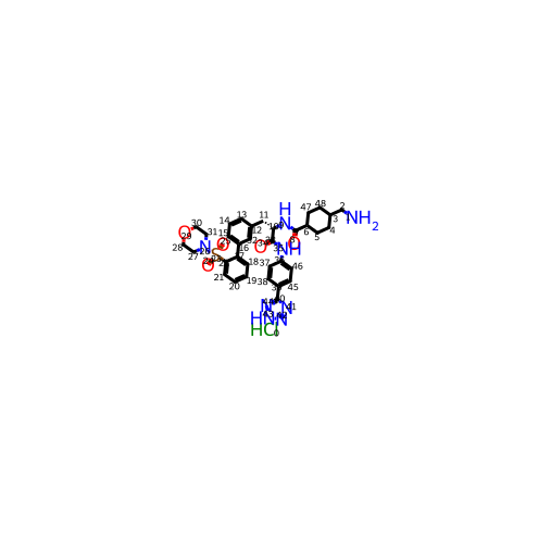 Cl.NCC1CCC(C(=O)N[C@@H](Cc2cccc(-c3ccccc3S(=O)(=O)N3CCOCC3)c2)C(=O)Nc2ccc(-c3nn[nH]n3)cc2)CC1